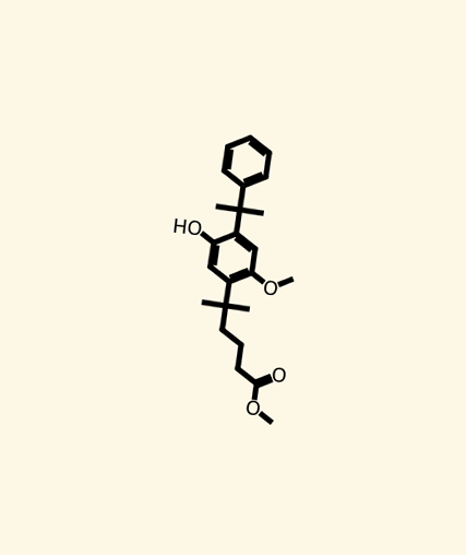 COC(=O)CCCC(C)(C)c1cc(O)c(C(C)(C)c2ccccc2)cc1OC